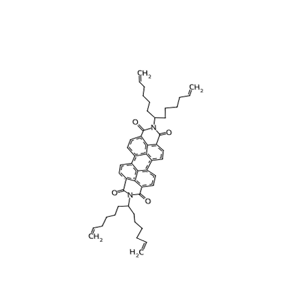 C=CCCCCC(CCCCC=C)N1C(=O)c2ccc3c4ccc5c6c(ccc(c7ccc(c2c37)C1=O)c64)C(=O)N(C(CCCCC=C)CCCCC=C)C5=O